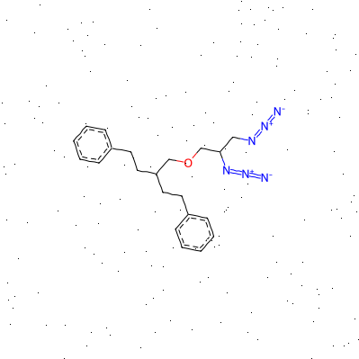 [N-]=[N+]=NCC(COCC(CCc1ccccc1)CCc1ccccc1)N=[N+]=[N-]